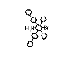 Nc1c(-c2ccc(-c3ccccc3)cc2)c(-c2ccccc2)c(Br)c(-c2ccccc2)c1-c1ccc(-c2ccccc2)cc1